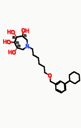 O[C@H]1[C@H](O)[C@@H](O)CN(CCCCCCOCc2cccc(C3CCCCC3)c2)C[C@@H]1O